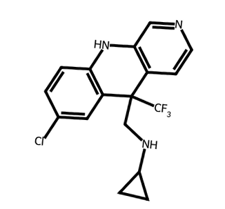 FC(F)(F)C1(CNC2CC2)c2ccncc2Nc2ccc(Cl)cc21